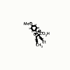 CC#CCC(C#CCC)(C(=O)O)S(=O)(=O)c1ccc(OC)cc1